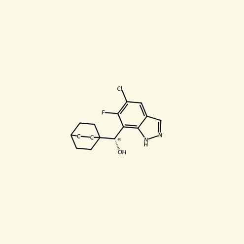 O[C@@H](c1c(F)c(Cl)cc2cn[nH]c12)C12CCC(CC1)CC2